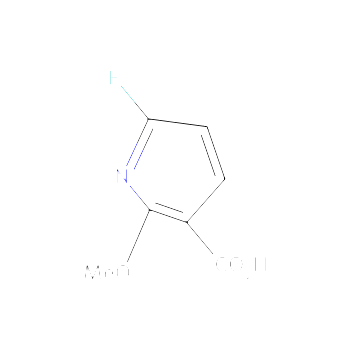 COc1nc(F)ccc1C(=O)O